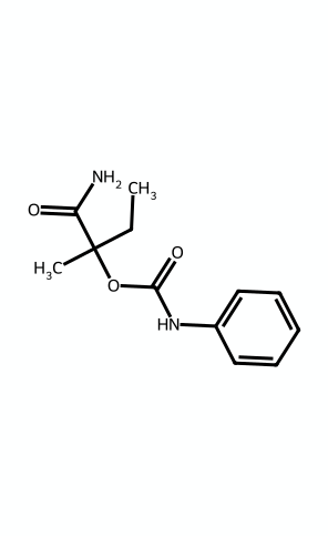 CCC(C)(OC(=O)Nc1ccccc1)C(N)=O